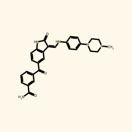 CN1CCN(c2ccc(N/C=C3\C(=O)Nc4ccc(C(=O)c5cccc(C(N)=O)c5)cc43)cc2)CC1